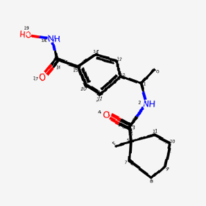 CC(NC(=O)C1(C)CCCCC1)c1ccc(C(=O)NO)cc1